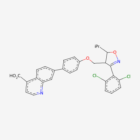 CC(C)C1ON=C(c2c(Cl)cccc2Cl)C1COc1ccc(-c2ccc3c(C(=O)O)ccnc3c2)cc1